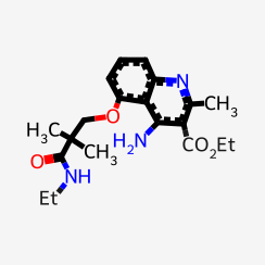 CCNC(=O)C(C)(C)COc1cccc2nc(C)c(C(=O)OCC)c(N)c12